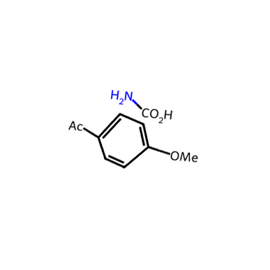 COc1ccc(C(C)=O)cc1.NC(=O)O